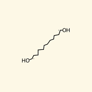 O[CH]CCCCCCCCCC[CH]O